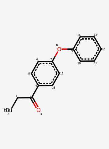 CC(C)(C)CC(=O)c1ccc(Oc2ccccc2)cc1